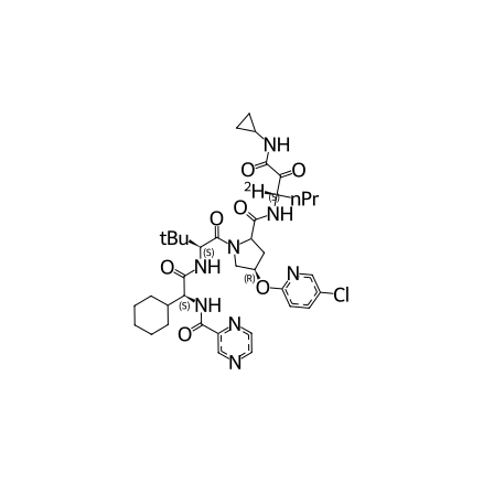 [2H][C@@](CCC)(NC(=O)C1C[C@@H](Oc2ccc(Cl)cn2)CN1C(=O)[C@@H](NC(=O)[C@@H](NC(=O)c1cnccn1)C1CCCCC1)C(C)(C)C)C(=O)C(=O)NC1CC1